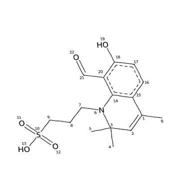 CC1=CC(C)(C)N(CCCS(=O)(=O)O)c2c1ccc(O)c2C=O